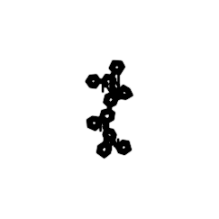 C1=CC2C(C=C1c1ccc3c(c1)c1ccccc1n3-c1nc(-c3ccccc3)cc(-c3ccccc3)n1)c1ccccc1N2c1ccc2c(c1)c1ccccc1n2-c1ccccc1